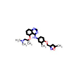 Cc1cc(COc2ccc(Nc3ncnc4cccc(O[C@H](C)CN(C)C)c34)cc2C)no1